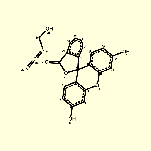 O=C1OC2(c3ccc(O)cc3Oc3cc(O)ccc32)c2ccccc21.OCN=C=S